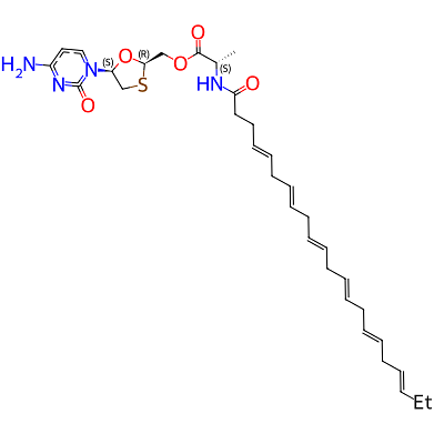 CCC=CCC=CCC=CCC=CCC=CCC=CCCC(=O)N[C@@H](C)C(=O)OC[C@@H]1O[C@H](n2ccc(N)nc2=O)CS1